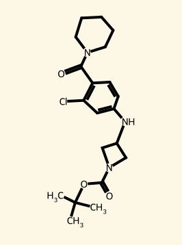 CC(C)(C)OC(=O)N1CC(Nc2ccc(C(=O)N3CCCCC3)c(Cl)c2)C1